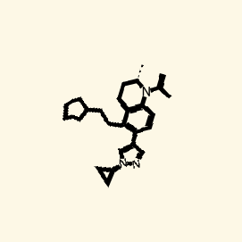 C=C(C)N1c2ccc(-c3cnn(C4CC4)c3)c(CCC3CCCC3)c2CC[C@@H]1C